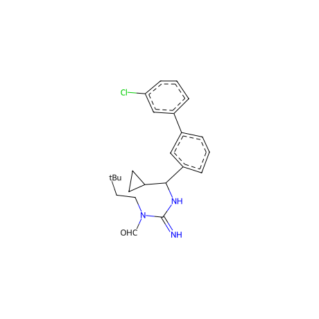 CC(C)(C)CCN(C=O)C(=N)NC(c1cccc(-c2cccc(Cl)c2)c1)C1CC1